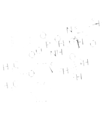 [2H]C([2H])([2H])OC[C@]1(COP(=O)(N[C@@H](Cc2ccccc2)C(=O)OC(C)C)Oc2ccccc2)C(=O)[C@H]2CCN1[C@H](C)C2